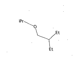 CCC(CC)COC(C)C